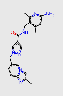 Cc1cn2cc(Cn3cc(C(=O)NCc4c(C)cc(N)nc4C)cn3)ccc2n1